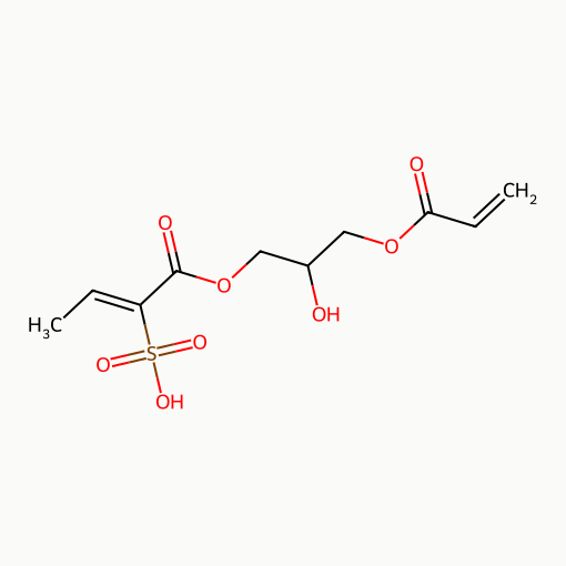 C=CC(=O)OCC(O)COC(=O)C(=CC)S(=O)(=O)O